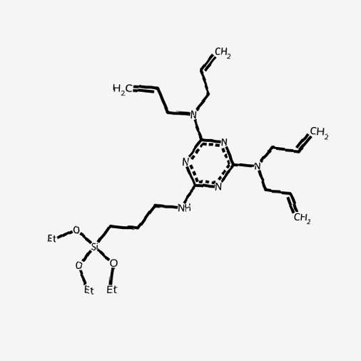 C=CCN(CC=C)c1nc(NCCC[Si](OCC)(OCC)OCC)nc(N(CC=C)CC=C)n1